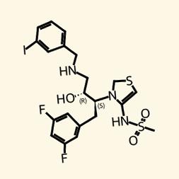 CS(=O)(=O)NC1=CSCN1[C@@H](Cc1cc(F)cc(F)c1)[C@H](O)CNCc1cccc(I)c1